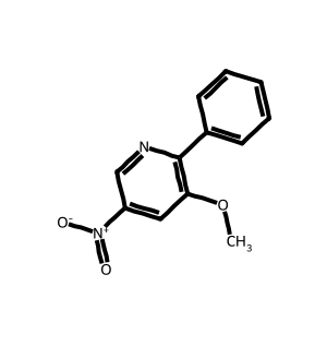 COc1cc([N+](=O)[O-])cnc1-c1ccccc1